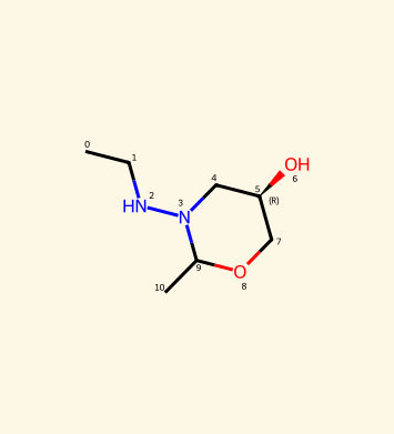 CCNN1C[C@@H](O)COC1C